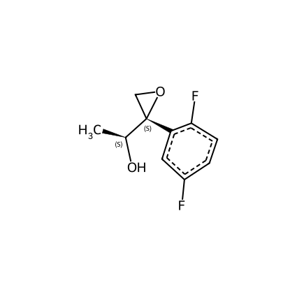 C[C@H](O)[C@]1(c2cc(F)ccc2F)CO1